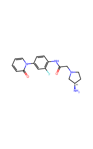 N[C@@H]1CCN(CC(=O)Nc2ccc(-n3ccccc3=O)cc2F)C1